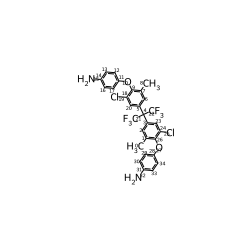 Cc1cc(C(c2cc(C)c(Oc3ccc(N)cc3)c(Cl)c2)(C(F)(F)F)C(F)(F)F)cc(Cl)c1Oc1ccc(N)cc1